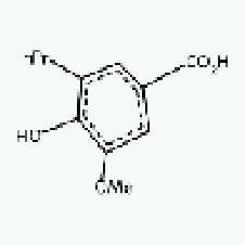 CCCc1cc(C(=O)O)cc(OC)c1O